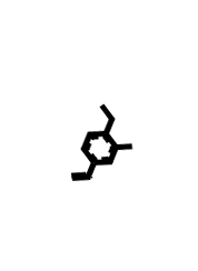 C=[C]c1ccc(CC)c(C)c1